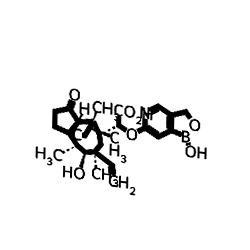 C=C[C@]1(C)C[C@@H](C(Oc2cc3c(cn2)COB3O)C(=O)O)[C@@]2(C)[C@H](C)CC[C@]3(CCC(=O)[C@H]32)[C@@H](C)[C@@H]1O